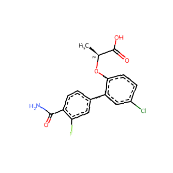 C[C@H](Oc1ccc(Cl)cc1-c1ccc(C(N)=O)c(F)c1)C(=O)O